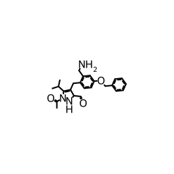 CC(=O)N1NC(C=O)C(Cc2ccc(OCc3ccccc3)cc2CN)=C1C(C)C